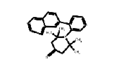 CC1(C)CC(=O)CC(C)(C)P1c1ccccc1-c1ccc2ccccc2c1